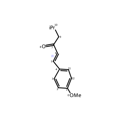 COc1ccc(/C=C/C(=O)CC(C)C)cc1